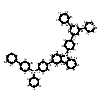 c1ccc(-c2ccc(N(c3ccccc3)c3ccc(-c4ccc5c(c4)c4ccccc4n5-c4ccc(-c5cc(-c6ccncc6)nc(-c6ccccc6)n5)cc4)cc3)cc2)cc1